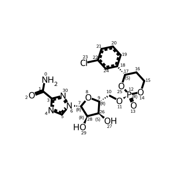 NC(=O)c1ncn([C@@H]2O[C@H](CO[P@@]3(=O)OCC[C@@H](c4cccc(Cl)c4)O3)[C@@H](O)[C@H]2O)n1